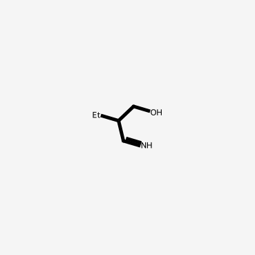 [CH2]CC(C=N)CO